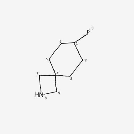 FC1CCC2(CC1)CNC2